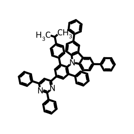 CC(C)c1ccc(-c2cc(-c3cc(-c4ccccc4)nc(-c4ccccc4)n3)cc(-c3ccccc3)c2-n2c3ccc(-c4ccccc4)cc3c3cc(-c4ccccc4)ccc32)cc1